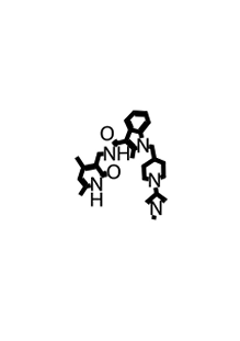 Cc1cc(C)c(CNC(=O)c2c(C)n(CC3CCN(C4CN(C)C4)CC3)c3ccccc23)c(=O)[nH]1